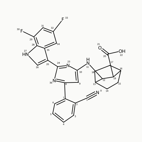 N#Cc1ccccc1-c1cc(NC2C3CCC(CC3)C2C(=O)O)nc(-c2c[nH]c3c(F)cc(F)cc23)n1